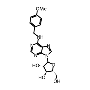 COc1ccc(CNc2ncnc3c2ncn3C2O[C@H](CO)[C@@H](O)[C@@H]2O)cc1